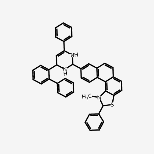 CN1c2c(ccc3ccc4cc(C5NC(c6ccccc6)=CC(c6ccccc6-c6ccccc6)N5)ccc4c23)SC1c1ccccc1